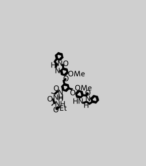 CCC(=O)N[C@@H](C)C(=O)N[C@@H](C)C(=O)Nc1cc(COc2cc3c(cc2OC)C(=O)N2c4ccccc4C[C@H]2C=N3)cc(COc2cc3c(cc2OC)C(=O)N2c4ccccc4C[C@H]2CN3)c1